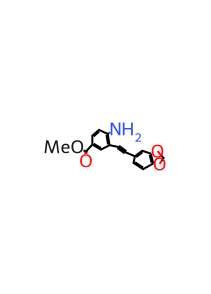 COC(=O)c1ccc(N)c(C#Cc2ccc3c(c2)OCO3)c1